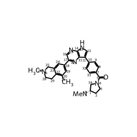 CN[C@H]1CCN(C(=O)c2ccc(-c3c[nH]c4ncc(-c5cc(C)c6c(c5)CN(C)CC6)nc34)cc2)C1